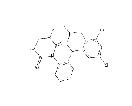 CC1CC(C)C(=O)N(c2ccccc2[C@@H]2CN(C)Cc3c(Cl)cc(Cl)cc32)C1=O